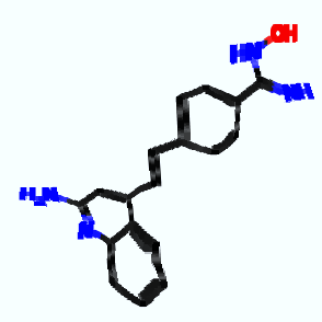 N=C(NO)c1ccc(/C=C/c2cc(N)nc3ccccc23)cc1